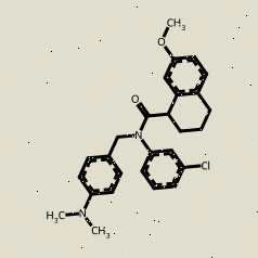 COc1ccc2c(c1)C(C(=O)N(Cc1ccc(N(C)C)cc1)c1cccc(Cl)c1)CCC2